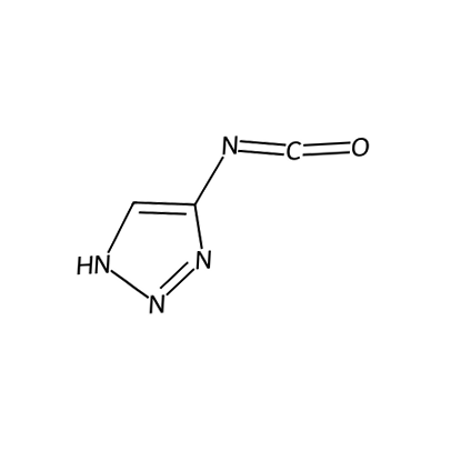 O=C=Nc1c[nH]nn1